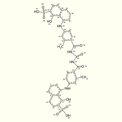 Cc1cc(Nc2cccc3ccc(S(=O)(=O)O)c(O)c23)ccc1C(=O)NC(=O)NC(=O)c1ccc(Nc2cccc3ccc(S(=O)(=O)O)c(O)c23)cc1C